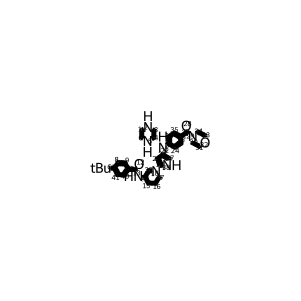 C1CNCCN1.CC(C)(C)c1ccc(C(=O)N[C@@H]2CCCN(c3cc(Nc4ccc(C(=O)N5CCOCC5)cc4)c[nH]3)C2)cc1